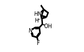 CC12CC(C1)[C@@H]([C@@H](O)c1cncc(F)c1)N2